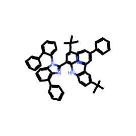 CC(C)(C)c1ccc(Nc2ccc(C(C)(C)C)cc2-c2nc3c(-c4ccccc4)cccc3n2-c2ccccc2-c2ccccc2)c(-c2cc(-c3ccccc3)ccn2)c1